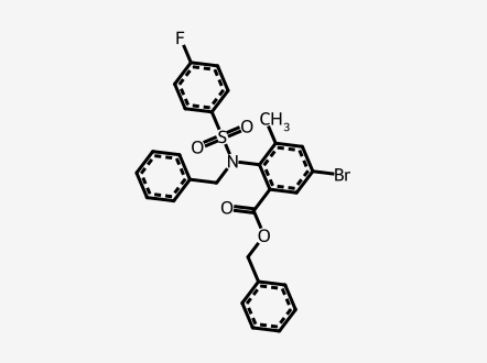 Cc1cc(Br)cc(C(=O)OCc2ccccc2)c1N(Cc1ccccc1)S(=O)(=O)c1ccc(F)cc1